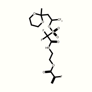 C=C(F)C(=O)OCCNC(=O)C(F)(F)S(=O)(=O)OC(CC1(C)OCCCO1)C(F)(F)F